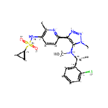 Cc1nc(-c2nnn(C)c2N(C(=O)O)[C@H](C)c2ccccc2Cl)ccc1NS(=O)(=O)C1CC1